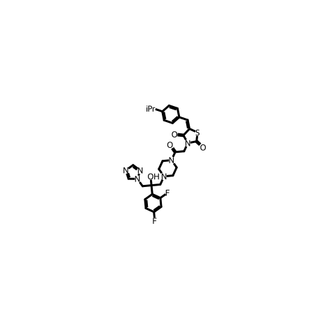 CC(C)c1ccc(C=C2SC(=O)N(CC(=O)N3CCN(CC(O)(Cn4cncn4)c4ccc(F)cc4F)CC3)C2=O)cc1